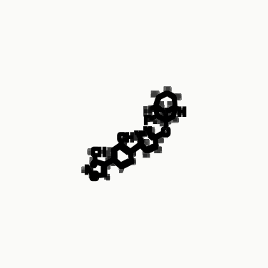 Cc1nocc1-c1ccc(-c2ccc(O[C@@H]3C[C@H]4CCC[C@H](N4)[C@@H]3F)nn2)c(O)c1